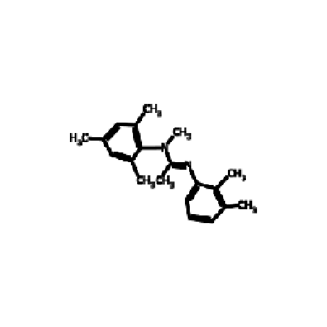 C/C(=N\c1cccc(C)c1C)N(C)c1c(C)cc(C)cc1C